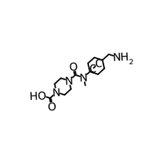 CN(C(=O)N1CCN(C(=O)O)CC1)C12CCC(CN)(CC1)CC2